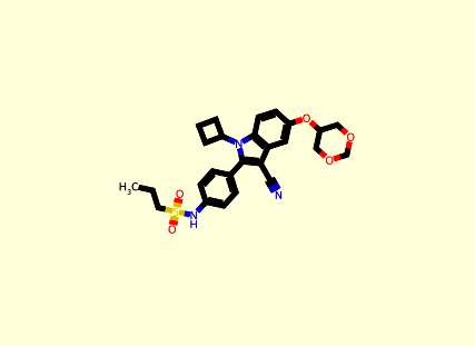 CCCS(=O)(=O)Nc1ccc(-c2c(C#N)c3cc(OC4COCOC4)ccc3n2C2CCC2)cc1